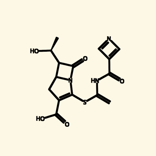 C=C(NC(=O)C1=CN=C1)SC1=C(C(=O)O)CC2C([C@H](C)O)C(=O)N12